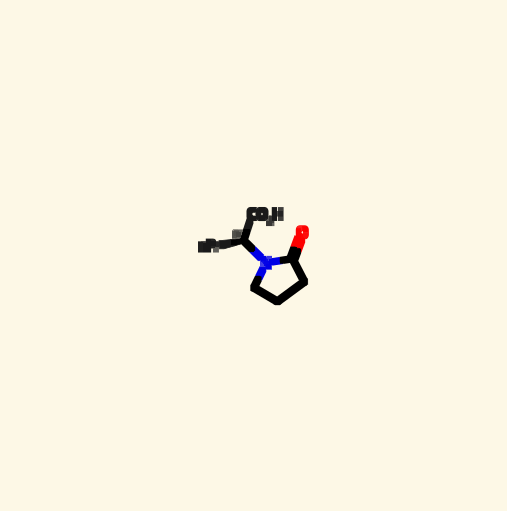 CCC[C@@H](C(=O)O)N1CCCC1=O